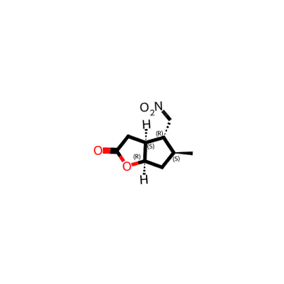 C[C@H]1C[C@H]2OC(=O)C[C@H]2[C@@H]1C[N+](=O)[O-]